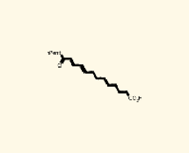 CCCCCC(=O)/C=C/C=C/CCCCCCCC(=O)O